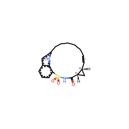 O=C1NS(=O)(=O)c2cccc3cc([nH]c23)CCCCC/C=C\[C@@H]2C[C@H]12